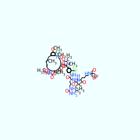 COc1cc2cc(c1Cl)N(C)C(=O)C[C@H](OC(=O)[C@H](C)N(C)C(=O)c1ccc(NC(=O)[C@H](CCCNC(N)=O)NC(=O)[C@@H](NC(C=O)CCCCNC(C=O)(CBr)CBr)C(C)C)c(C(F)(F)F)c1)[C@]1(C)O[C@H]1[C@H](C)[C@@H]1C[C@@](O)(NC(=O)O1)[C@H](OC)/C=C/C=C(\C)C2